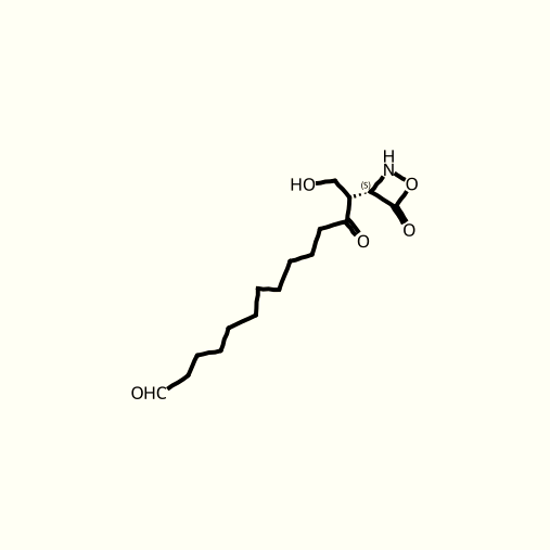 O=CCCCCCCCCCCC(=O)C(CO)[C@@H]1NOC1=O